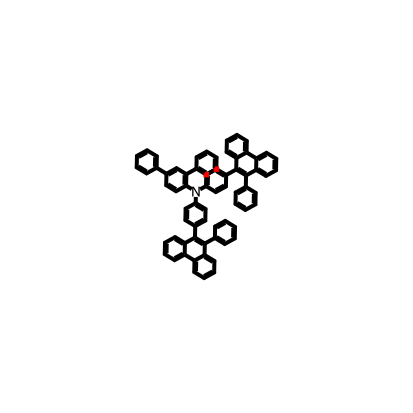 c1ccc(-c2ccc(N(c3ccc(-c4c(-c5ccccc5)c5ccccc5c5ccccc45)cc3)c3ccc(-c4c(-c5ccccc5)c5ccccc5c5ccccc45)cc3)c(-c3ccccc3)c2)cc1